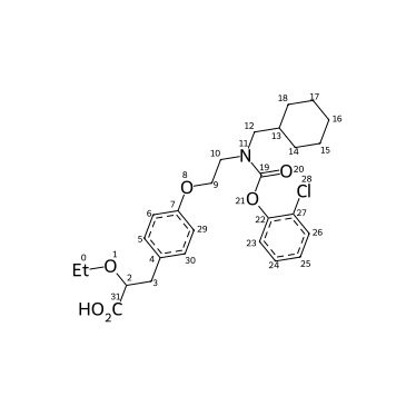 CCOC(Cc1ccc(OCCN(CC2CCCCC2)C(=O)Oc2ccccc2Cl)cc1)C(=O)O